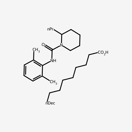 CCCC1CCCCN1C(=O)Nc1c(C)cccc1C.CCCCCCCCCCCCCCCCCC(=O)O